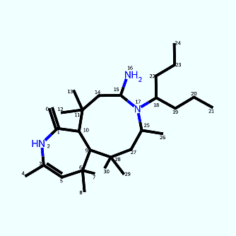 C=C1NC(C)=CC(C)(C)C2C1C(C)(C)CC(N)N(C(CCC)CCC)C(C)CC2(C)C